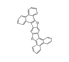 c1ccc2c(c1)c1ccccc1c1c3cc4oc5c6ccccc6c6ccccc6c5c4cc3oc21